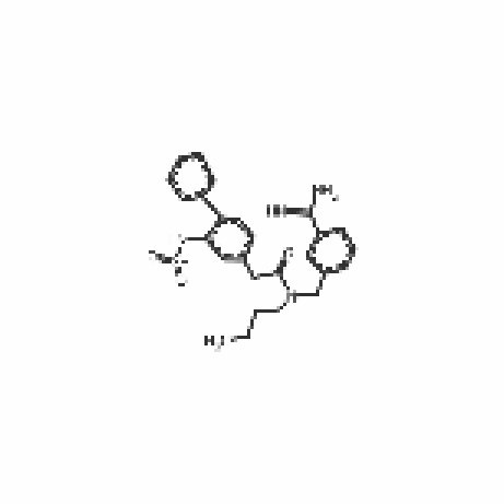 CCCCN(Cc1cccc(C(=N)N)c1)C(=O)Cc1ccc(-c2ccccc2)c(N[SH](=O)=O)c1